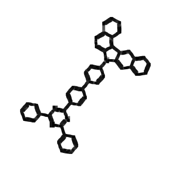 c1ccc(-c2nc(-c3ccccc3)nc(-c3ccc(-c4ccc(-n5c6cc7ccccc7cc6c6c7ccccc7ccc65)cc4)cc3)n2)cc1